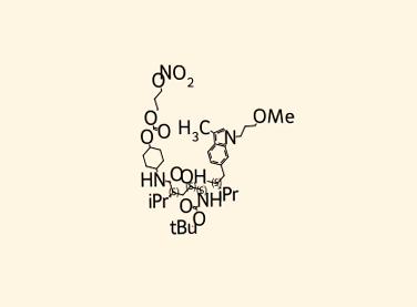 COCCCn1cc(C)c2ccc(C[C@@H](C[C@H](NC(=O)OC(C)(C)C)[C@@H](O)C[C@H](C(=O)NC3CCC(OC(=O)OCCCO[N+](=O)[O-])CC3)C(C)C)C(C)C)cc21